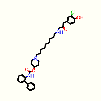 O=C(CNCCCCCCCCCN1CCC(OC(=O)Nc2ccccc2-c2ccccc2)CC1)Cc1ccc(O)c(Cl)c1